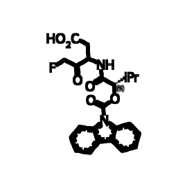 CC(C)[C@H](OC(=O)n1c2ccccc2c2ccccc21)C(=O)NC(CC(=O)O)C(=O)CF